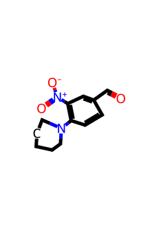 O=Cc1ccc(N2CCCCC2)c([N+](=O)[O-])c1